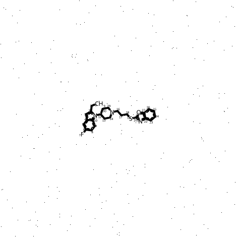 CCc1cc2cc(F)ccc2n1C1CCN(CCCSc2nc3ccccc3o2)CC1